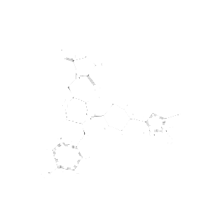 Cc1cc(C2CCC(N3C[C@H](CN4C(=O)CCC4=O)OC[C@@H]3Cc3ccc(Cl)cc3)CC2)nn1C